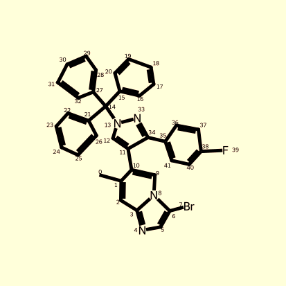 Cc1cc2ncc(Br)n2cc1-c1cn(C(c2ccccc2)(c2ccccc2)c2ccccc2)nc1-c1ccc(F)cc1